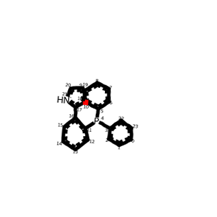 c1ccc(P(c2ccccc2)c2ccccc2-c2ccc[nH]2)cc1